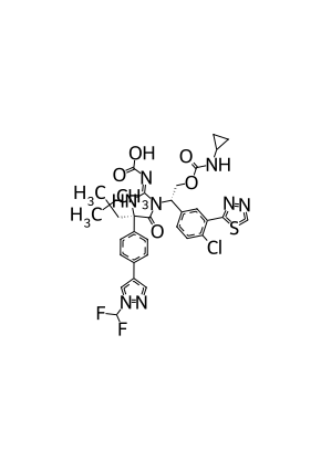 CC(C)(C)C[C@]1(c2ccc(-c3cnn(C(F)F)c3)cc2)N/C(=N\C(=O)O)N([C@H](COC(=O)NC2CC2)c2ccc(Cl)c(-c3nncs3)c2)C1=O